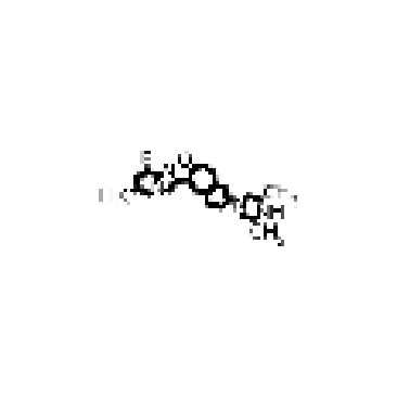 Cc1cc(F)c2nc(C3=Cc4ccc(N5C[C@@H](C)N[C@@H](C)C5)cc4CCC3=O)cn2c1